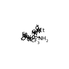 CCn1nc(-c2nc(-c3cc(-c4noc(-c5nn(CC)c6c5CCC(C)(C)C6)n4)c(C(F)(F)F)cc3CCCN)no2)c2c1CC(C)(C)CC2